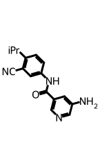 CC(C)c1ccc(NC(=O)c2cncc(N)c2)cc1C#N